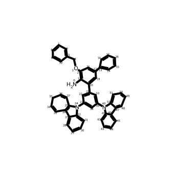 Nc1c(OCc2ccccc2)cc(-c2ccccc2)cc1-c1cc(-n2c3c(c4ccccc42)C=CCC=C3)cc(-n2c3ccccc3c3ccccc32)c1